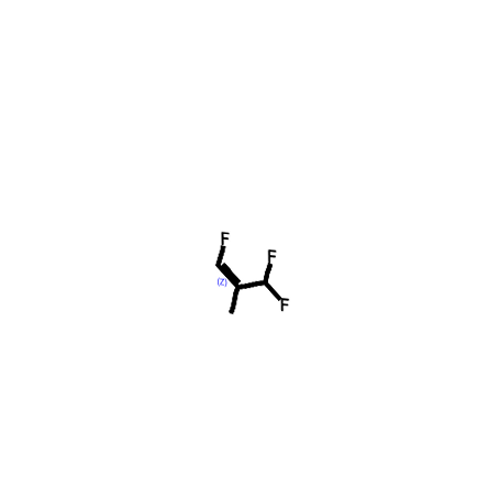 C/C(=C/F)C(F)F